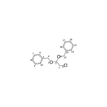 ClCC(OCc1ccccc1)OCc1ccccc1